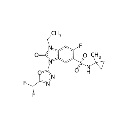 CCn1c(=O)n(-c2nnc(C(F)F)o2)c2cc(S(=O)(=O)NC3(C)CC3)c(F)cc21